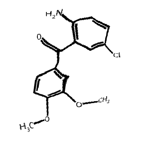 COc1ccc(C(=O)c2cc(Cl)ccc2N)cc1OC